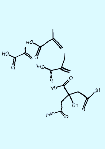 C=C(C)C(=O)O.C=C(C)C(=O)O.C=C(C)C(=O)O.O=C(O)CC(O)(CC(=O)O)C(=O)O